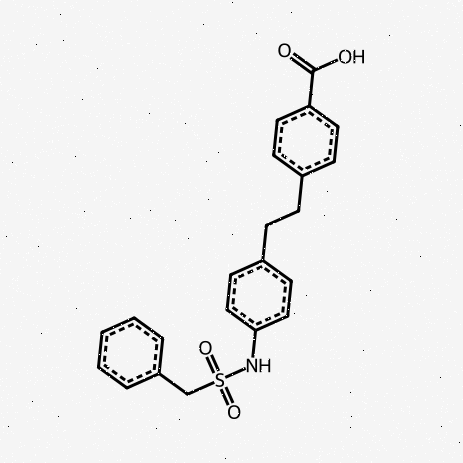 O=C(O)c1ccc(CCc2ccc(NS(=O)(=O)Cc3ccccc3)cc2)cc1